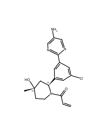 C=CC(=O)N1CC[C@](C)(O)C[C@H]1c1cc(Cl)cc(-c2ncc(N)cn2)c1